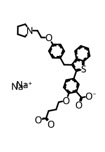 O=C([O-])CCCOc1ccc(-c2sc3ccccc3c2Cc2ccc(OCCN3CCCC3)cc2)cc1C(=O)[O-].[Na+].[Na+]